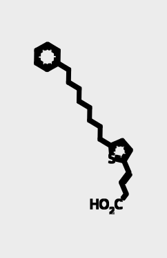 O=C(O)CC=Cc1ccc(CCCCCCCCc2ccccc2)s1